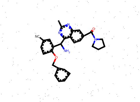 Cc1nc(C(N)c2cc(C#N)ccc2OCc2ccccc2)c2ccc(C(=O)N3CCCC3)cc2n1